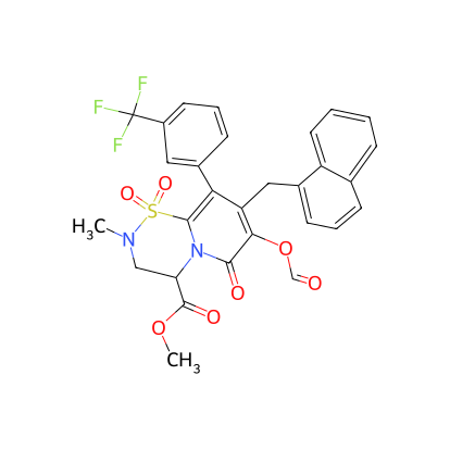 COC(=O)C1CN(C)S(=O)(=O)c2c(-c3cccc(C(F)(F)F)c3)c(Cc3cccc4ccccc34)c(OC=O)c(=O)n21